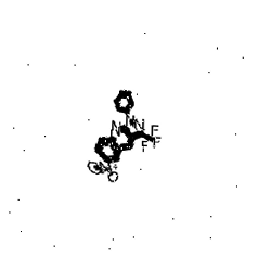 O=[N+]([O-])c1ccc2nc3c(cc2c1)c(C(F)(F)F)nn3-c1ccccc1